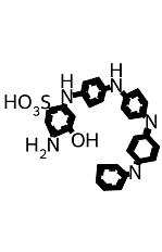 Nc1cc(S(=O)(=O)O)c(Nc2ccc(Nc3ccc(N=C4C=CC(=Nc5ccccc5)C=C4)cc3)cc2)cc1O